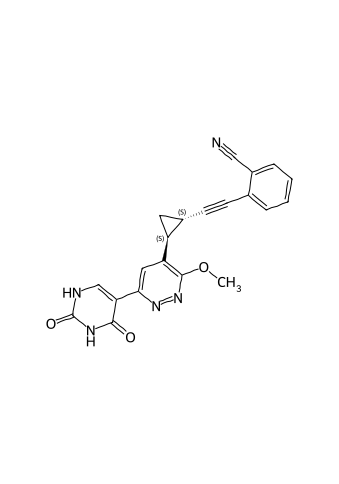 COc1nnc(-c2c[nH]c(=O)[nH]c2=O)cc1[C@H]1C[C@@H]1C#Cc1ccccc1C#N